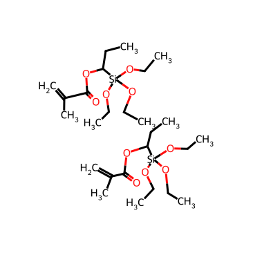 C=C(C)C(=O)OC(CC)[Si](OCC)(OCC)OCC.C=C(C)C(=O)OC(CC)[Si](OCC)(OCC)OCC